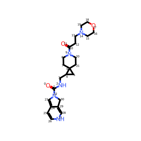 O=C(NCC1CC12CCN(C(=O)CCN1CCOCC1)CC2)N1C=C2C=CNC=C2C1